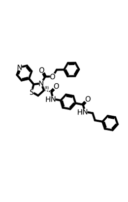 O=C(NCCc1ccccc1)c1ccc(NC(=O)[C@@H]2CSC(c3ccncc3)N2C(=O)OCc2ccccc2)cc1